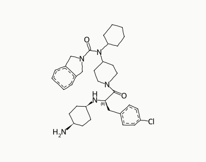 N[C@H]1CC[C@@H](N[C@H](Cc2ccc(Cl)cc2)C(=O)N2CCC(N(C(=O)N3Cc4ccccc4C3)C3CCCCC3)CC2)CC1